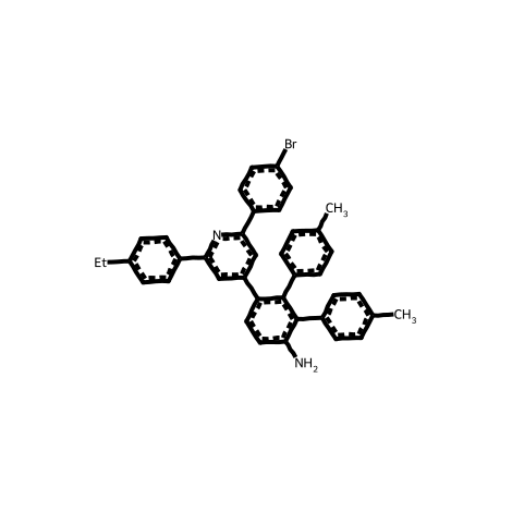 CCc1ccc(-c2cc(-c3ccc(N)c(-c4ccc(C)cc4)c3-c3ccc(C)cc3)cc(-c3ccc(Br)cc3)n2)cc1